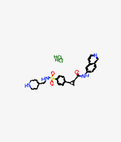 Cl.Cl.O=C(Nc1ccc2cnccc2c1)C1CC1c1ccc(S(=O)(=O)NCC2CCNCC2)cc1